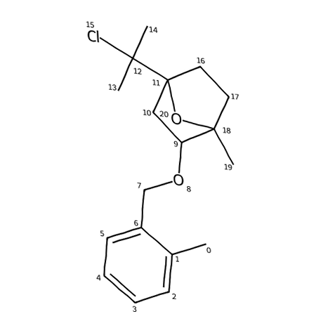 Cc1ccccc1COC1CC2(C(C)(C)Cl)CCC1(C)O2